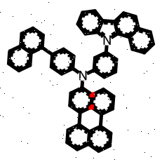 c1ccc(-c2cccc3cccc(-c4ccc(N(c5ccc(-c6cccc7ccccc67)cc5)c5cccc(-n6c7ccccc7c7ccc8ccccc8c76)c5)cc4)c23)cc1